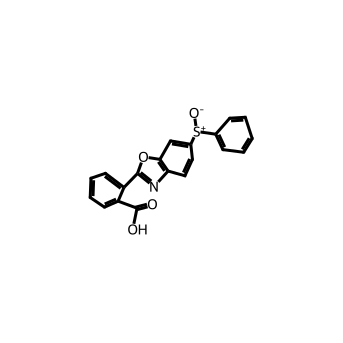 O=C(O)c1ccccc1-c1nc2ccc([S+]([O-])c3ccccc3)cc2o1